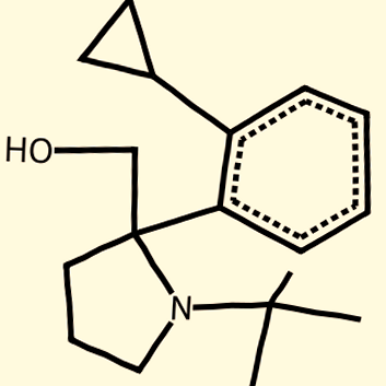 CC(C)(C)N1CCCC1(CO)c1ccccc1C1CC1